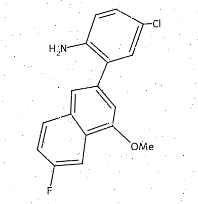 COc1cc(-c2cc(Cl)ccc2N)cc2ccc(F)cc12